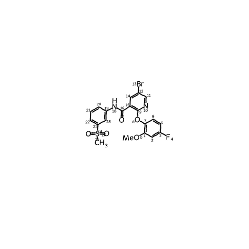 COc1cc(F)ccc1Oc1ncc(Br)cc1C(=O)Nc1cccc(S(C)(=O)=O)c1